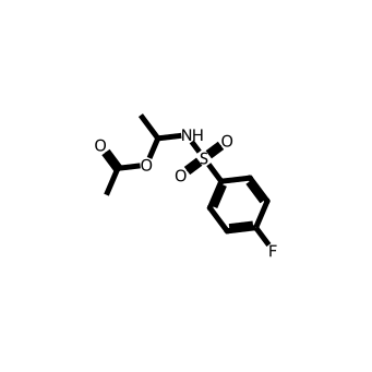 CC(=O)OC(C)NS(=O)(=O)c1ccc(F)cc1